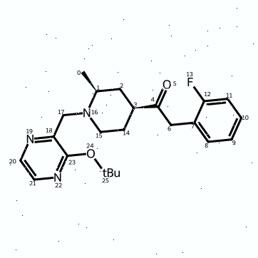 C[C@H]1C[C@@H](C(=O)Cc2ccccc2F)CCN1Cc1nccnc1OC(C)(C)C